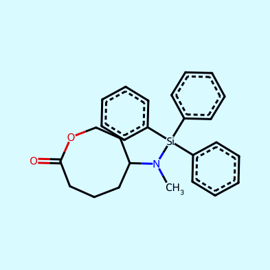 CN(C1CCCC(=O)OCC1)[Si](c1ccccc1)(c1ccccc1)c1ccccc1